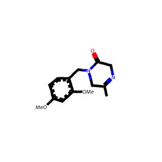 COc1ccc(CN2CC(C)=NCC2=O)c(OC)c1